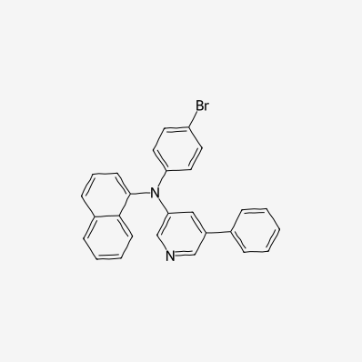 Brc1ccc(N(c2cncc(-c3ccccc3)c2)c2cccc3ccccc23)cc1